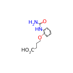 NC(=O)Nc1ccccc1OCCCC(=O)O